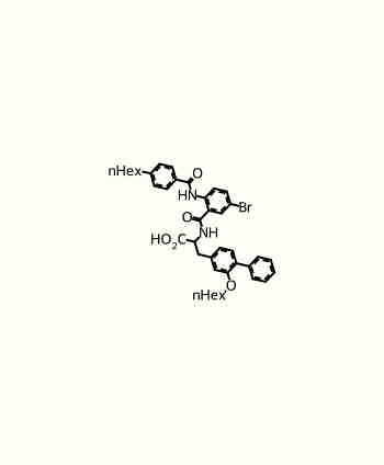 CCCCCCOc1cc(CC(NC(=O)c2cc(Br)ccc2NC(=O)c2ccc(CCCCCC)cc2)C(=O)O)ccc1-c1ccccc1